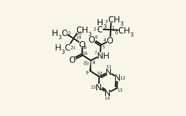 CC(C)(C)OC(=O)N[C@@H](Cc1nncnn1)C(=O)OC(C)(C)C